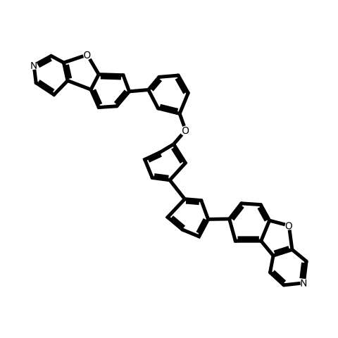 c1cc(Oc2cccc(-c3ccc4c(c3)oc3cnccc34)c2)cc(-c2cccc(-c3ccc4oc5cnccc5c4c3)c2)c1